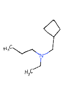 CCCN(CC)CC1CCC1